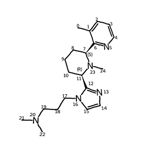 Cc1cccnc1[C@@H]1CCC[C@H](c2nccn2CCCN(C)C)N1C